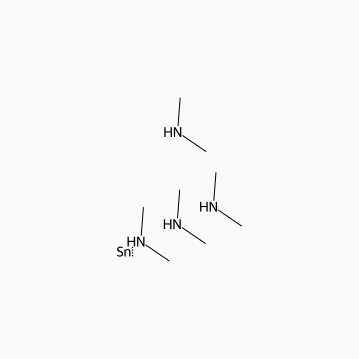 CNC.CNC.CNC.CNC.[Sn]